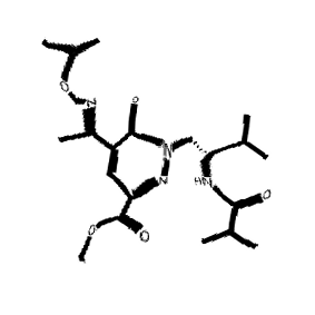 COC(=O)c1cc(/C(C)=N/OC(C)C)c(=O)n(C[C@@H](NC(=O)C(C)C)C(C)C)n1